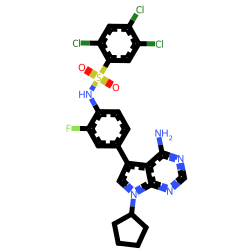 Nc1ncnc2c1c(-c1ccc(NS(=O)(=O)c3cc(Cl)c(Cl)cc3Cl)c(F)c1)cn2C1CCCC1